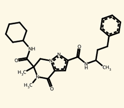 CC(CCc1ccccc1)NC(=O)c1cc2n(n1)CC(C)(C(=O)NC1CCCCC1)N(C)C2=O